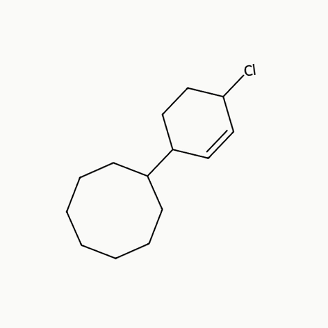 ClC1C=CC(C2CCCCCCC2)CC1